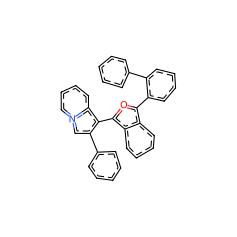 c1ccc(-c2ccccc2-c2oc(-c3c(-c4ccccc4)cn4ccccc34)c3ccccc23)cc1